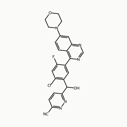 N#Cc1ccc(C(O)c2cc(-c3ncnc4cc(N5CCOCC5)ccc34)c(F)cc2Cl)nn1